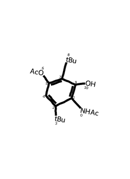 CC(=O)Nc1c(C(C)(C)C)cc(OC(C)=O)c(C(C)(C)C)c1O